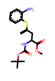 C=C(CC(NC(=O)OC(C)(C)C)C(=O)OC)Sc1ccccc1N